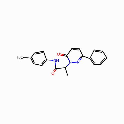 CC(C(=O)Nc1ccc(C(F)(F)F)cc1)n1nc(-c2ccccc2)ccc1=O